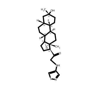 C[C@@]1(O)CC[C@@]2(F)[C@H](CC[C@H]3[C@@H]4CC[C@H](C(=O)CNc5cnsc5)[C@@]4(C)CC[C@@H]32)C1